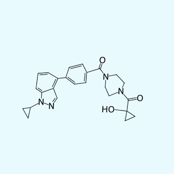 O=C(c1ccc(-c2cccc3c2cnn3C2CC2)cc1)N1CCN(C(=O)C2(O)CC2)CC1